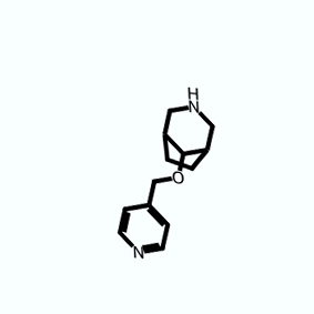 c1cc(COC2C3CCC2CNC3)ccn1